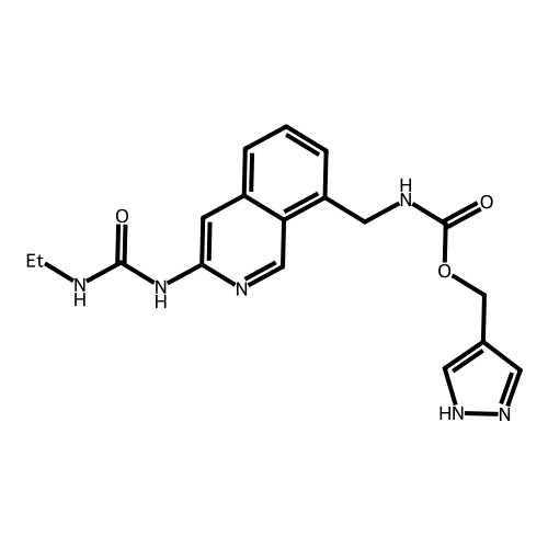 CCNC(=O)Nc1cc2cccc(CNC(=O)OCc3cn[nH]c3)c2cn1